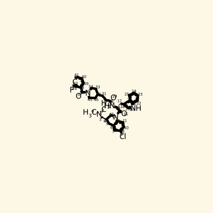 CN(C)C[C@@H]1Cc2cc(Cl)ccc2N(C(=O)[C@@H](Cc2c[nH]c3ccccc23)NC(=O)CCC2CCN(C(=O)c3ccccc3F)CC2)C1